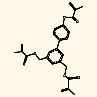 C=C(C)C(=O)OCc1cc(COC(=O)C(=C)C)cc(-c2ccc(OC(=O)C(=C)C)cc2)c1